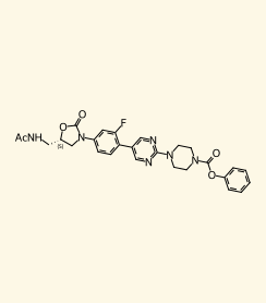 CC(=O)NC[C@H]1CN(c2ccc(-c3cnc(N4CCN(C(=O)Oc5ccccc5)CC4)nc3)c(F)c2)C(=O)O1